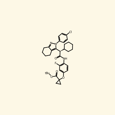 CC(C)(C)OC(=O)C1(Oc2ccc(NC(=O)[C@@H](c3c4c(nn3-c3ccc(Cl)cc3)CCCC4)C3CCCCC3)c(F)c2)CC1